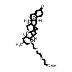 COCCOCCOCCN1C[C@@H](C)C[C@H]2O[C@@]34CC[C@@H]5C6(C[C@H]7[C@@]5(N)CCC5=CC(=O)CC[C@@]57C)CC63C[C@@H]4[C@@H]21